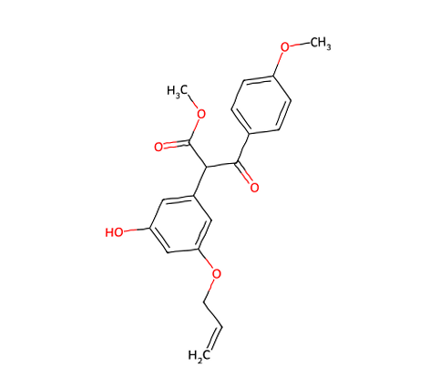 C=CCOc1cc(O)cc(C(C(=O)OC)C(=O)c2ccc(OC)cc2)c1